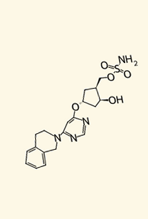 NS(=O)(=O)OC[C@@H]1C[C@@H](Oc2cc(N3CCc4ccccc4C3)ncn2)C[C@@H]1O